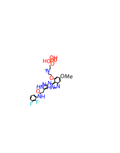 COc1cc(OCCN(C)CCOP(=O)(O)O)c2c(Nc3cc(CC(=O)Nc4cccc(F)c4F)[nH]n3)ncnc2c1